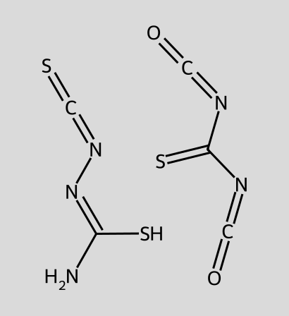 NC(S)=NN=C=S.O=C=NC(=S)N=C=O